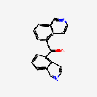 O=C(c1cccc2cnccc12)c1cccc2cnccc12